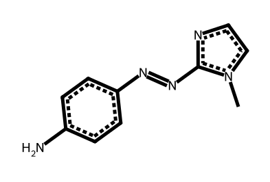 Cn1ccnc1N=Nc1ccc(N)cc1